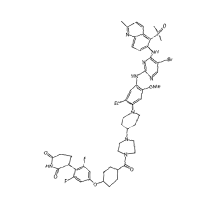 CCc1cc(Nc2ncc(Br)c(Nc3ccc4nc(C)ccc4c3P(C)(C)=O)n2)c(OC)cc1N1CCC(N2CCN(C(=O)C3CCC(Oc4cc(F)c(C5CCC(=O)NC5=O)c(F)c4)CC3)CC2)CC1